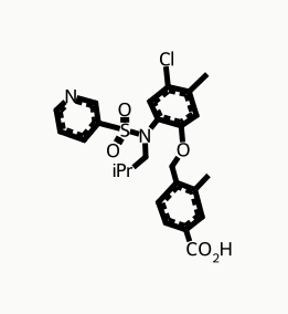 Cc1cc(OCc2ccc(C(=O)O)cc2C)c(N(CC(C)C)S(=O)(=O)c2cccnc2)cc1Cl